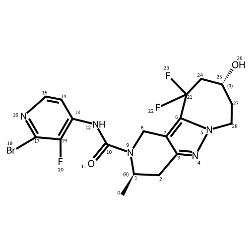 C[C@@H]1Cc2nn3c(c2CN1C(=O)Nc1ccnc(Br)c1F)C(F)(F)C[C@H](O)CC3